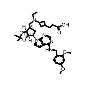 CCN(C[C@H]1C[C@@H](n2ccc3c(NCc4ccc(OC)cc4OC)ncnc32)[C@@H]2OC(C)(C)O[C@H]12)C1CC(CCC(=O)O)C1